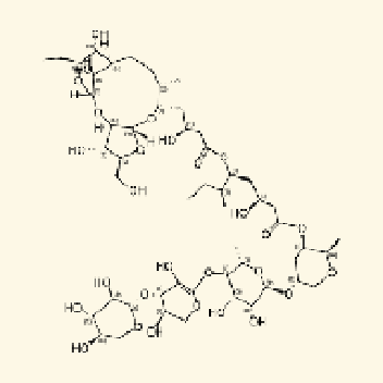 CC[C@@H]1O[C@H]2O[C@H]3[C@@H](O[C@@H](CO)[C@@H]3O)O[C@@H](C[C@H](O)CC(=O)O[C@@H](C[C@H](O)CC(=O)O[C@@H]3C[C@@H](O[C@@H]4O[C@@H](C)[C@H](OC5=C(O)[C@@H](O[C@@H]6OC[C@@H](O)[C@H](O)[C@H]6O)[C@H](O)CO5)[C@@H](O)[C@H]4O)CO[C@@H]3C)[C@@H](C)CC)[C@@H](C)CC[C@H]([C@H]1O)[C@H]2O